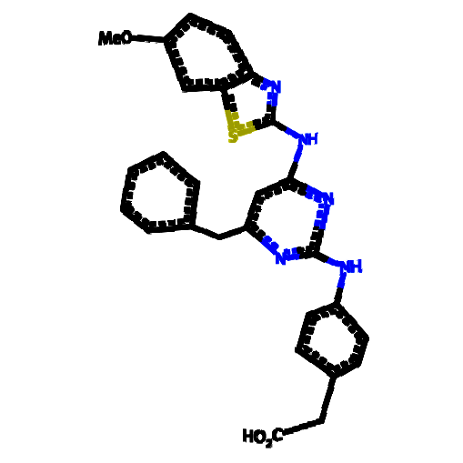 COc1ccc2nc(Nc3cc(Cc4ccccc4)nc(Nc4ccc(CC(=O)O)cc4)n3)sc2c1